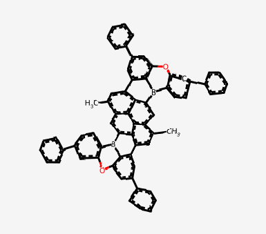 Cc1cc2c3c(cc4c(C)cc5c6c(cc1c3c46)B1c3ccc(-c4ccccc4)cc3Oc3cc(-c4ccccc4)cc-5c31)B1c3ccc(-c4ccccc4)cc3Oc3cc(-c4ccccc4)cc-2c31